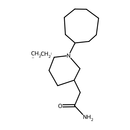 NC(=O)CC1CCCN([C]2CCCCCCC2)C1.[CH2].[CH2]